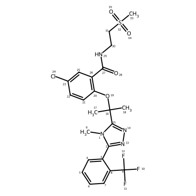 Cn1c(-c2ccccc2C(F)(F)F)nnc1C(C)(C)Oc1ccc(Cl)cc1C(=O)NCCS(C)(=O)=O